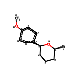 CC[C@H]1CCC[C@@H](c2ccc(OC(F)(F)F)cc2)O1